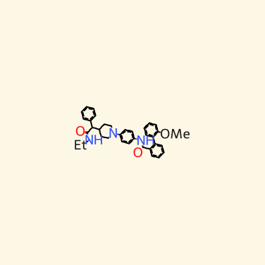 CCNC(=O)C(c1ccccc1)C1CCN(c2ccc(NC(=O)c3ccccc3-c3ccccc3OC)cc2)CC1